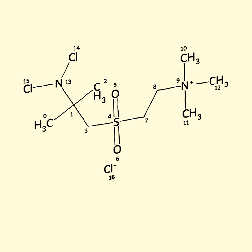 CC(C)(CS(=O)(=O)CC[N+](C)(C)C)N(Cl)Cl.[Cl-]